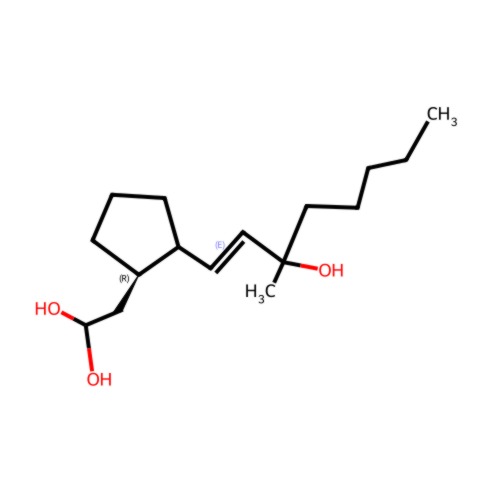 CCCCCC(C)(O)/C=C/C1CCC[C@@H]1CC(O)O